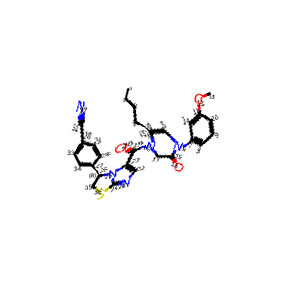 CCCC[C@H]1CN(c2cccc(OC)c2)C(=O)CN1C(=O)c1cnc2n1[C@H](c1ccc(C#N)cc1)CS2